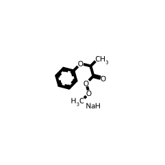 COOC(=O)C(C)Oc1ccccc1.[NaH]